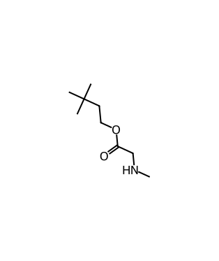 CNCC(=O)OCCC(C)(C)C